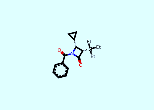 CC[Si](CC)(CC)[C@@H]1C(=O)N(C(=O)c2ccccc2)[C@@H]1C1CC1